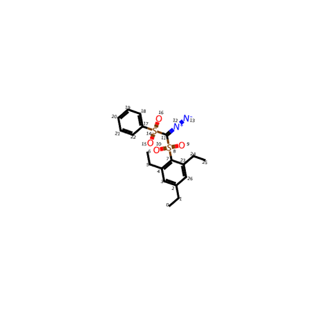 CCc1cc(CC)c(S(=O)(=O)C(=[N+]=[N-])S(=O)(=O)c2ccccc2)c(CC)c1